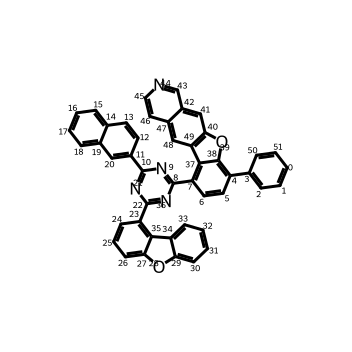 c1ccc(-c2ccc(-c3nc(-c4ccc5ccccc5c4)nc(-c4cccc5oc6ccccc6c45)n3)c3c2oc2cc4cnccc4cc23)cc1